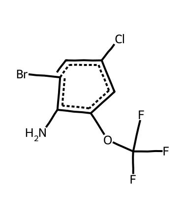 Nc1c(Br)cc(Cl)cc1OC(F)(F)F